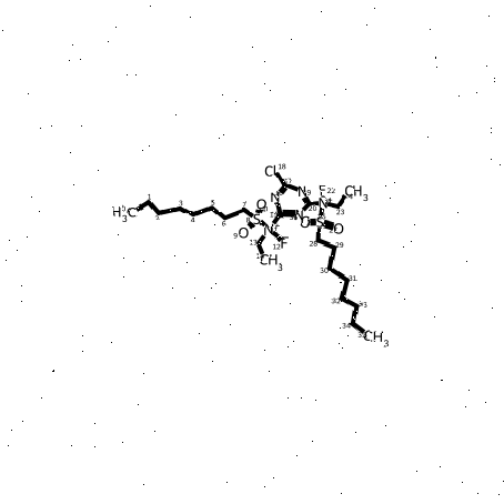 CCCCCCCCS(=O)(=O)[N+](F)(CC)c1nc(Cl)nc([N+](F)(CC)S(=O)(=O)CCCCCCCC)n1